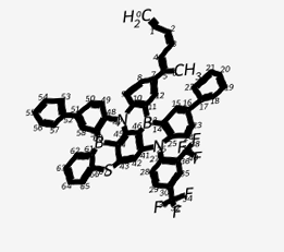 C=C/C=C\C=C(/C)c1ccc2c(c1)B1c3cc(-c4ccccc4)ccc3N(c3ccc(C(F)(F)F)cc3C(F)(F)F)c3cc4c5c(c31)N2c1ccc(-c2ccccc2)cc1B5c1ccccc1S4